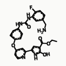 CCOC(=O)c1cc(-c2cc(Oc3ccc(NC(=O)Nc4cc(CN)ccc4F)cc3)ccn2)[nH]c1O